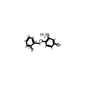 Nc1cc(Br)ccc1OCc1ccccc1F